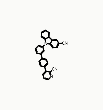 N#Cc1ccc2c(c1)c1ccccc1n2-c1cccc(-c2ccc(-c3cccnc3C#N)cc2)c1